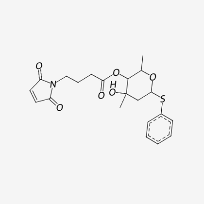 CC1OC(Sc2ccccc2)CC(C)(O)C1OC(=O)CCCN1C(=O)C=CC1=O